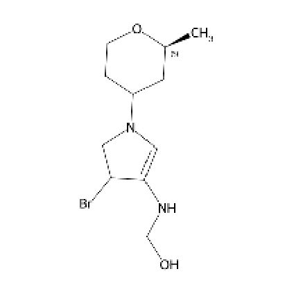 C[C@H]1CC(N2C=C(NCO)C(Br)C2)CCO1